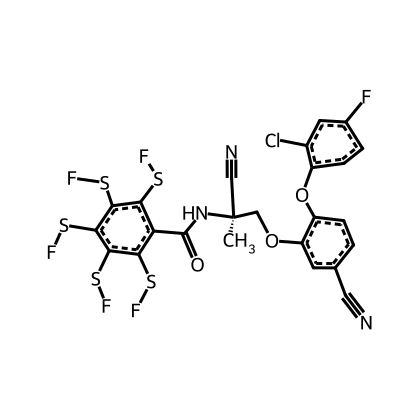 C[C@](C#N)(COc1cc(C#N)ccc1Oc1ccc(F)cc1Cl)NC(=O)c1c(SF)c(SF)c(SF)c(SF)c1SF